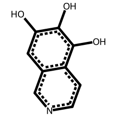 Oc1cc2cnccc2c(O)c1O